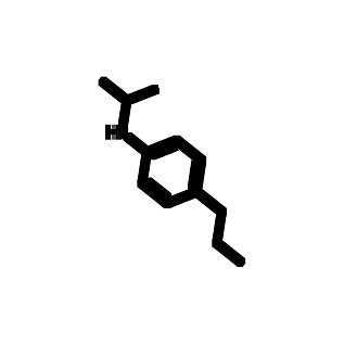 CCCc1ccc(NC(C)C)cc1